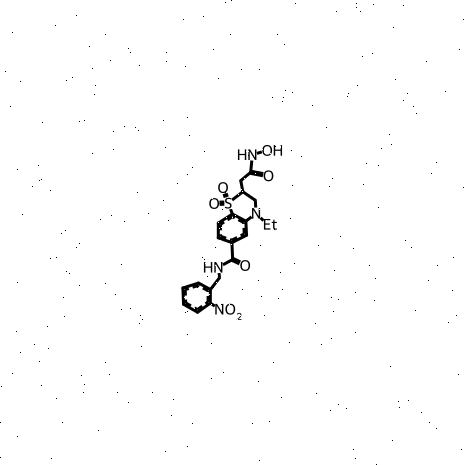 CCN1CC(CC(=O)NO)S(=O)(=O)c2ccc(C(=O)NCc3ccccc3[N+](=O)[O-])cc21